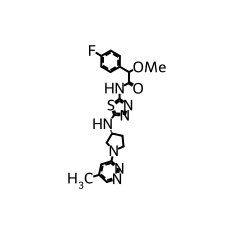 COC(C(=O)Nc1nnc(N[C@@H]2CCN(c3cc(C)cnn3)C2)s1)c1ccc(F)cc1